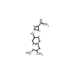 CCC(C)CN1CCC(O[C@H]2C[C@H](NC)C2)CC1